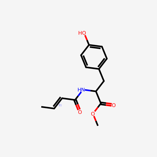 C/C=C/C(=O)NC(Cc1ccc(O)cc1)C(=O)OC